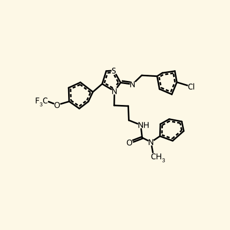 CN(C(=O)NCCCn1c(-c2ccc(OC(F)(F)F)cc2)cs/c1=N\Cc1ccc(Cl)cc1)c1ccccc1